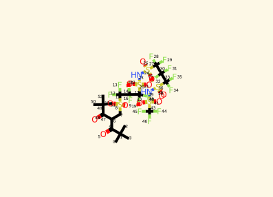 CC(C)(C)C(=O)C(CS(=O)(=O)C(F)(F)C(F)(F)C(F)(F)S(=O)(=O)NS(=O)(=O)C(F)(F)C(F)(F)C(F)(F)S(=O)(=O)NS(=O)(=O)C(F)(F)F)C(=O)C(C)(C)C